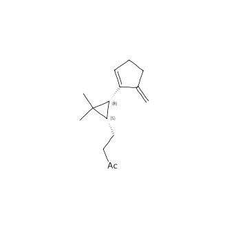 C=C1CCC=C1[C@@H]1[C@H](CCC(C)=O)C1(C)C